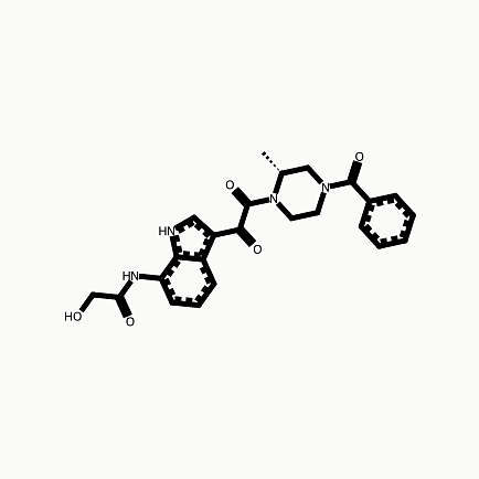 C[C@@H]1CN(C(=O)c2ccccc2)CCN1C(=O)C(=O)c1c[nH]c2c(NC(=O)CO)cccc12